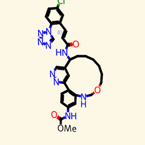 COC(=O)Nc1ccc2c(c1)NCOCCCCCCC(NC(=O)/C=C/c1cc(Cl)ccc1-n1cnnn1)c1cnnc-2c1